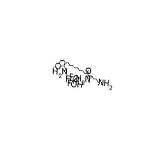 NCCCC[C@H](N)C(=O)CCCCCCCCc1ccc2ccccc2c1CN.O=C(O)C(F)(F)F